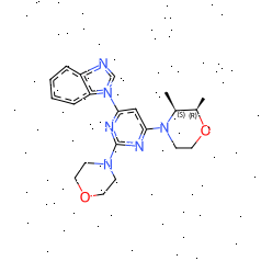 C[C@H]1OCCN(c2cc(-n3cnc4ccccc43)nc(N3CCOCC3)n2)[C@H]1C